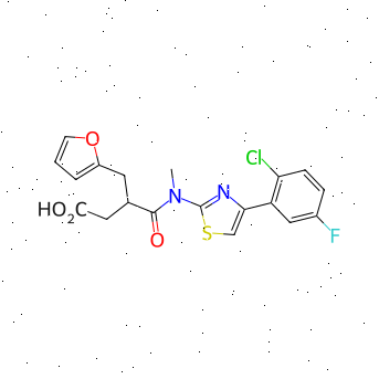 CN(C(=O)C(CC(=O)O)Cc1ccco1)c1nc(-c2cc(F)ccc2Cl)cs1